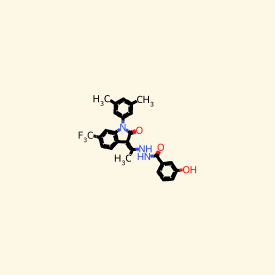 C/C(NNC(=O)c1cccc(O)c1)=C1/C(=O)N(c2cc(C)cc(C)c2)c2cc(C(F)(F)F)ccc21